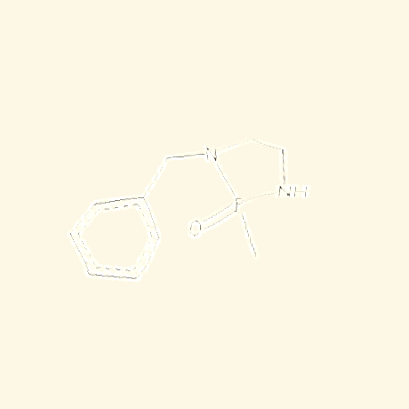 CP1(=O)NCCN1Cc1ccccc1